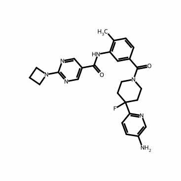 Cc1ccc(C(=O)N2CCC(F)(c3ccc(N)cn3)CC2)cc1NC(=O)c1cnc(N2CCC2)nc1